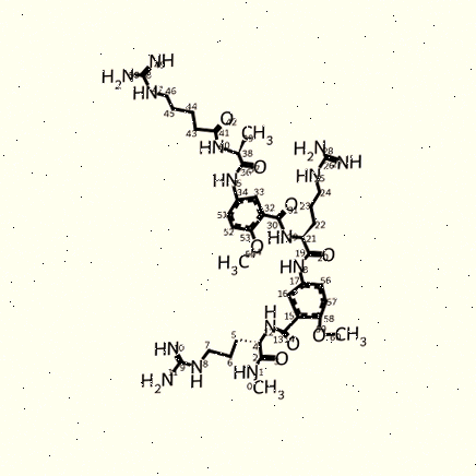 CNC(=O)[C@H](CCCNC(=N)N)NC(=O)c1cc(NC(=O)[C@H](CCCNC(=N)N)NC(=O)c2cc(NC(=O)[C@H](C)NC(=O)CCCCNC(=N)N)ccc2OC)ccc1OC